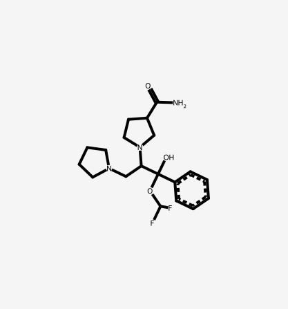 NC(=O)C1CCN(C(CN2CCCC2)C(O)(OC(F)F)c2ccccc2)C1